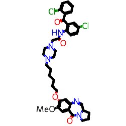 COc1cc2c(cc1OCCCCCCN1CCN(CC(=O)Nc3ccc(Cl)cc3C(=O)c3ccccc3Cl)CC1)N=CC1CCCN1C2=O